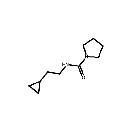 O=C(NCCC1CC1)N1CCCC1